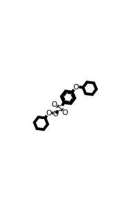 O=S(=O)(OOC1CCCCC1)c1ccc(OC2CCCCC2)cc1